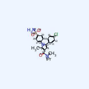 Cc1c(C(=O)N(C)C(C)C)cc(-c2ccc(Cl)cc2)n1-c1ccc(S(N)(=O)=O)cc1